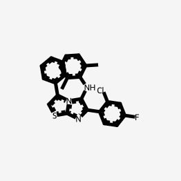 Cc1cccc(C)c1Nc1c(-c2ccc(F)cc2Cl)nc2scc(-c3ccccc3)n12